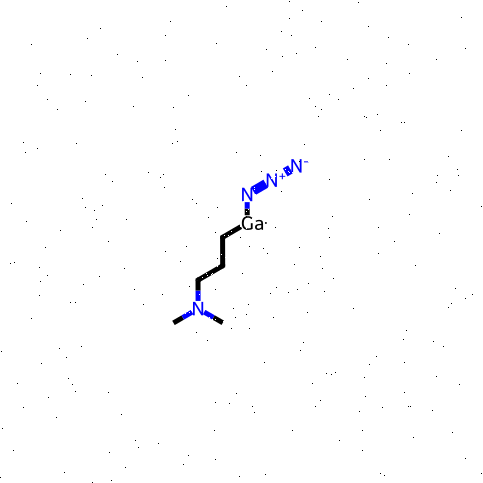 CN(C)CC[CH2][Ga][N]=[N+]=[N-]